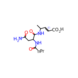 CCCC(=O)NC(CC(N)=O)C(=O)NC(C)/C=C/C(=O)O